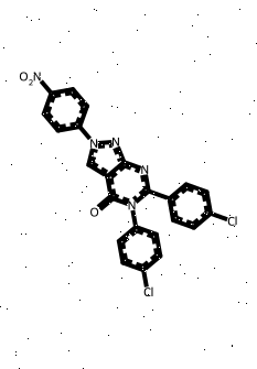 O=c1c2cn(-c3ccc([N+](=O)[O-])cc3)nc2nc(-c2ccc(Cl)cc2)n1-c1ccc(Cl)cc1